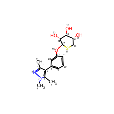 Cc1nn(C)c(C)c1-c1cccc(O[C@@H]2SC[C@@H](O)[C@H](O)[C@H]2O)c1